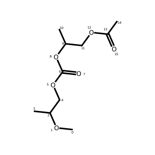 COC(C)COC(=O)OC(C)COC(C)=O